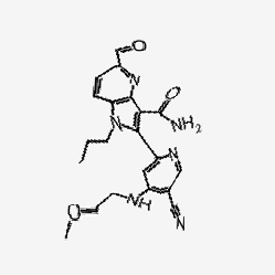 CCCn1c(-c2cc(NCCOC)c(C#N)cn2)c(C(N)=O)c2nc(C=O)ccc21